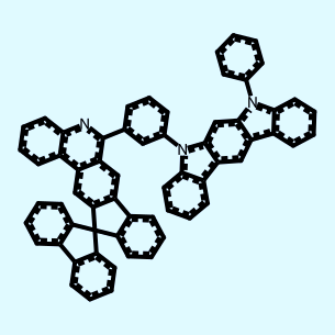 c1ccc(-n2c3ccccc3c3cc4c5ccccc5n(-c5cccc(-c6nc7ccccc7c7cc8c(cc67)-c6ccccc6C86c7ccccc7-c7ccccc76)c5)c4cc32)cc1